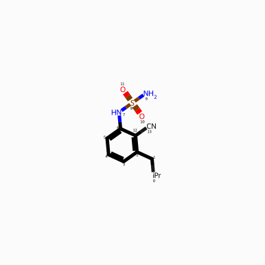 CC(C)Cc1cccc(NS(N)(=O)=O)c1C#N